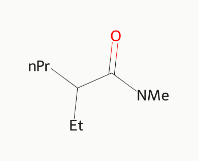 CCCC(CC)C(=O)NC